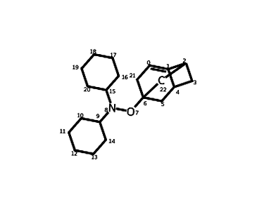 C1=C2C3CC2CC(ON(C2CCCCC2)C2CCCCC2)(C1)C3